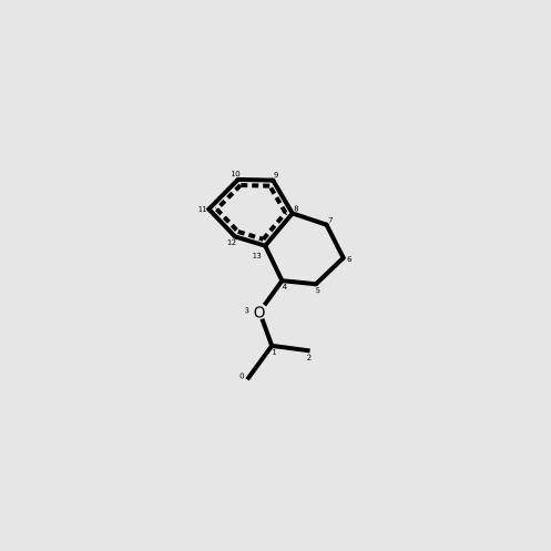 CC(C)OC1CCCc2ccccc21